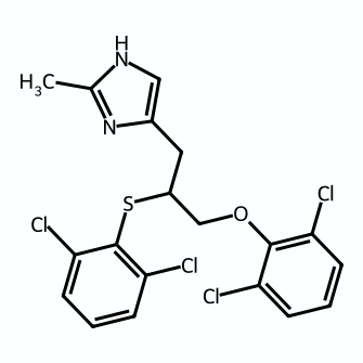 Cc1nc(CC(COc2c(Cl)cccc2Cl)Sc2c(Cl)cccc2Cl)c[nH]1